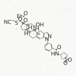 CCC(=O)O[C@]1(C(=O)SCC#N)CC[C@H]2[C@@H]3CCC4=Cc5c(cnn5-c5cccc(C(=O)NC6CCS(=O)(=O)C6)c5)C[C@]4(C)[C@H]3[C@@H](O)C[C@@]21C